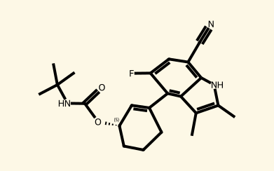 Cc1[nH]c2c(C#N)cc(F)c(C3=C[C@@H](OC(=O)NC(C)(C)C)CCC3)c2c1C